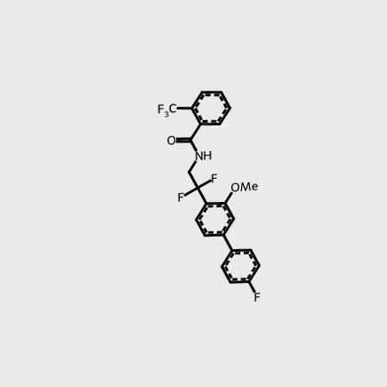 COc1cc(-c2ccc(F)cc2)ccc1C(F)(F)CNC(=O)c1ccccc1C(F)(F)F